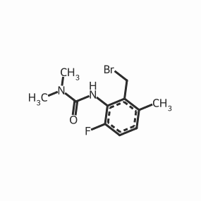 Cc1ccc(F)c(NC(=O)N(C)C)c1CBr